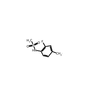 [CH2]c1ccc(NS(C)(=O)=O)c(F)c1